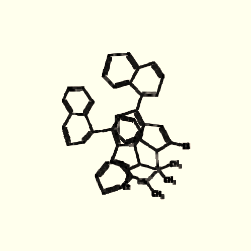 CCC1=Cc2c(-c3cccc4ccccc34)cccc2[CH]1[Ti]([CH3])([CH3])([CH]1C(CC)=Cc2c(-c3cccc4ccccc34)cccc21)[SiH](C)c1ccccc1